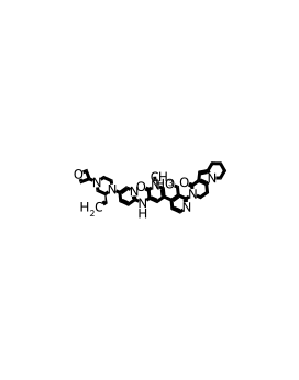 C=C[C@H]1CN(C2COC2)CCN1c1ccc(Nc2cc(-c3ccnc(N4CCc5c(cc6n5CCCC6)C4=O)c3CO)cn(C)c2=O)nc1